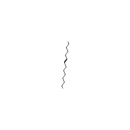 CCCCCCCCCCCCC=CCCCCCCO